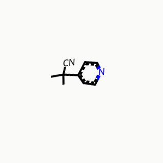 CC(C)(C#N)c1ccncc1